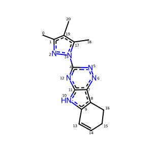 Cc1nn(-c2nnc3c4c([nH]c3n2)C=CCC4)c(C)c1C